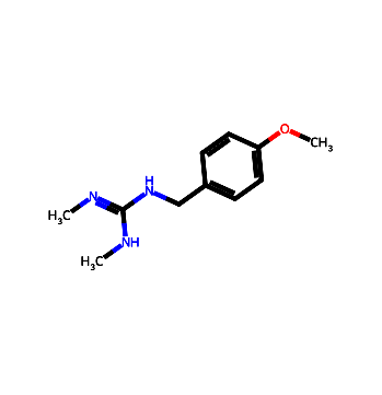 C/N=C(\NC)NCc1ccc(OC)cc1